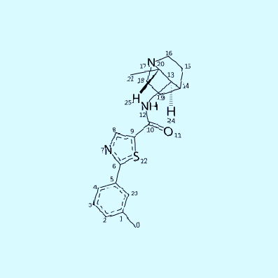 Cc1cccc(-c2ncc(C(=O)N[C@@H]3C4CCN(CC4)[C@H]3C)s2)c1